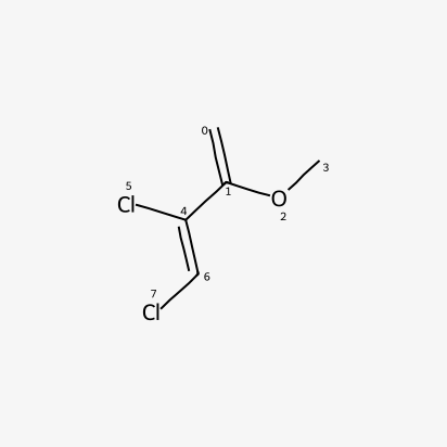 C=C(OC)/C(Cl)=C/Cl